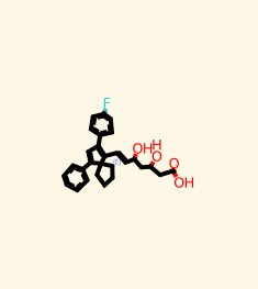 O=C(O)CC(O)CC(O)/C=C/C1=C(c2ccc(F)cc2)C=C(c2ccccc2)C12CCCC2